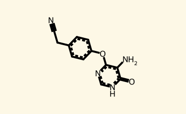 N#CCc1ccc(Oc2nc[nH]c(=O)c2N)cc1